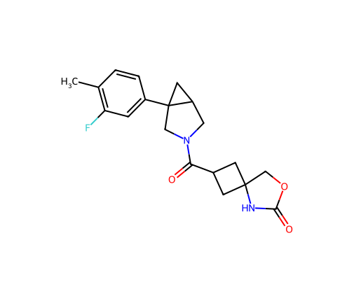 Cc1ccc(C23CC2CN(C(=O)C2CC4(COC(=O)N4)C2)C3)cc1F